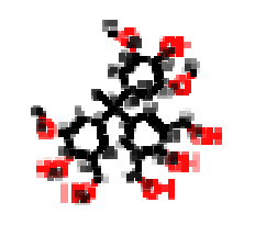 COc1cc(C(C)(c2cc(CO)c(O)c(CO)c2)c2cc(OC)c(O)c(OC)c2)cc(CO)c1O